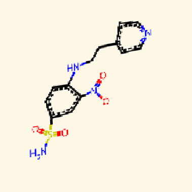 NS(=O)(=O)c1ccc(NCCc2ccncc2)c([N+](=O)[O-])c1